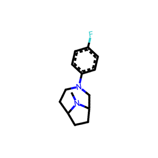 CN1C2CCC1CN(c1ccc(F)cc1)CC2